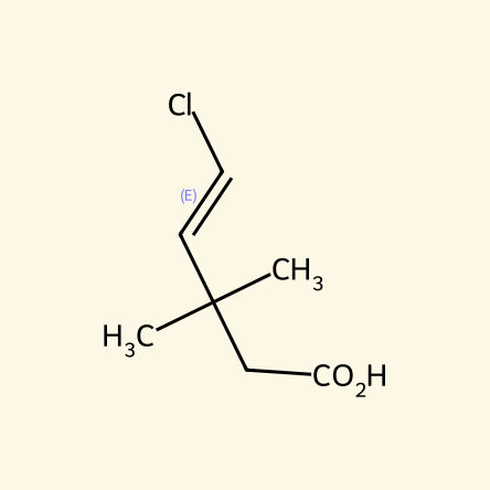 CC(C)(/C=C/Cl)CC(=O)O